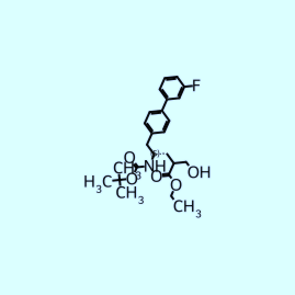 CCOC(=O)C(CO)C[C@@H](Cc1ccc(-c2cccc(F)c2)cc1)NC(=O)OC(C)(C)C